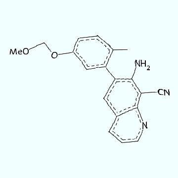 COCOc1ccc(C)c(-c2cc3cccnc3c(C#N)c2N)c1